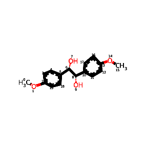 COc1ccc([C@H](O)[C@@H](O)c2ccc(OC)cc2)cc1